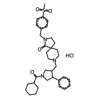 CS(=O)(=O)c1ccc(CN2CCC3(CCN(CC4CN(C(=O)C5CCCCC5)CC4c4ccccc4)CC3)C2=O)cc1.Cl